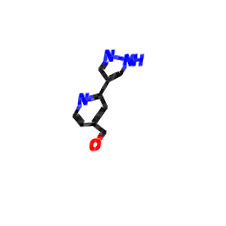 O=Cc1ccnc(-c2cn[nH]c2)c1